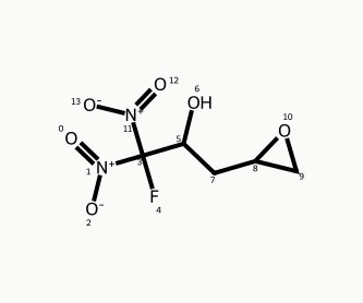 O=[N+]([O-])C(F)(C(O)CC1CO1)[N+](=O)[O-]